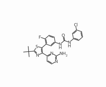 CC(C)(C)c1nc(-c2ccnc(N)n2)c(-c2cc(NC(=O)Nc3cccc(Cl)c3)ccc2F)s1